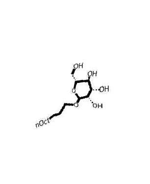 CCCCCCCCCCOC1O[C@H](CO)[C@@H](O)[C@H](O)[C@@H]1O